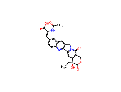 CC[C@@]1(O)C(=O)OCc2c1cc1n(c2=O)Cc2cc3cc(C=C(NC(C)=O)C(=O)O)ccc3nc2-1